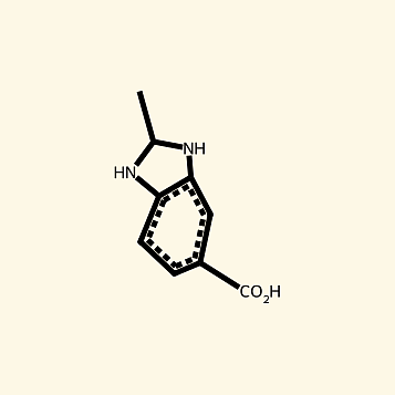 CC1Nc2ccc(C(=O)O)cc2N1